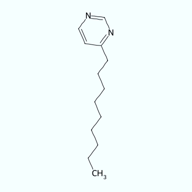 CCCCCCCCCc1ccncn1